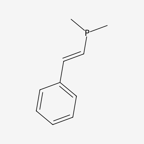 CP(C)C=Cc1ccccc1